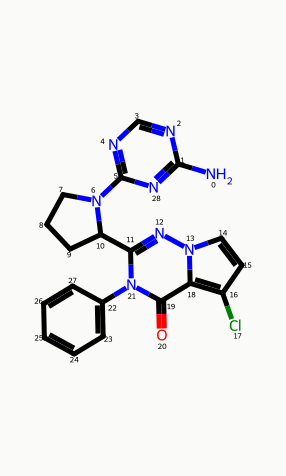 Nc1ncnc(N2CCCC2c2nn3ccc(Cl)c3c(=O)n2-c2ccccc2)n1